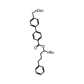 CCCCCCCCCCSc1ccc(-c2ccc(C(=O)OC(CCCC)CCCc3ccccc3)cc2)cc1